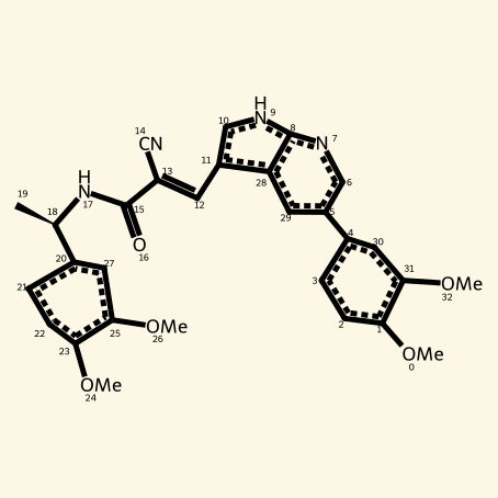 COc1ccc(-c2cnc3[nH]cc(/C=C(\C#N)C(=O)N[C@H](C)c4ccc(OC)c(OC)c4)c3c2)cc1OC